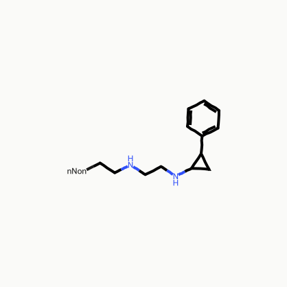 CCCCCCCCCCCNCCNC1CC1c1ccccc1